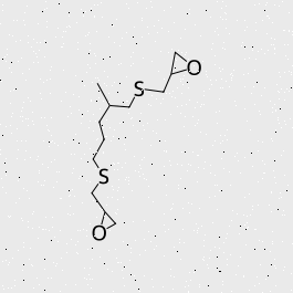 CC(CCCSCC1CO1)CSCC1CO1